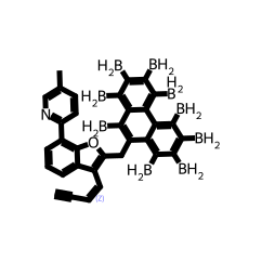 Bc1c(B)c(B)c2c(c1B)c(B)c(Cc1oc3c(-c4ccc(C)cn4)cccc3c1/C=C\C#C)c1c(B)c(B)c(B)c(B)c12